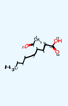 CC=O.CCCCCCCCC(=O)O